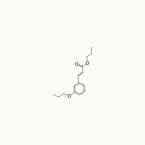 CCCOC(=O)C=Cc1cccc(OCCC)c1